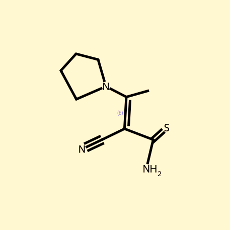 C/C(=C(/C#N)C(N)=S)N1CCCC1